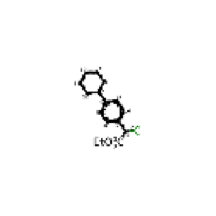 CCOC(=O)C(Cl)c1ccc(C2CCCCC2)cc1